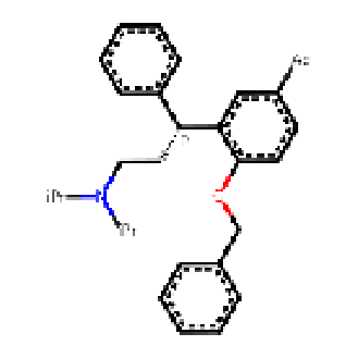 CC(=O)c1ccc(OCc2ccccc2)c([C@H](CCN(C(C)C)C(C)C)c2ccccc2)c1